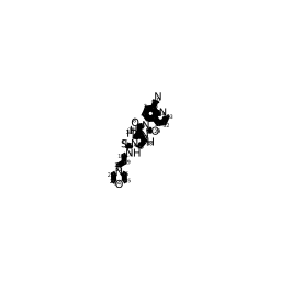 N#Cc1ccc(N2C(=O)[C@@H]3[C@@H]4C[C@@H](CN4C(=S)NCCCN4CCOCC4)N3C2=O)c2cccnc12